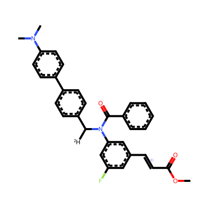 [2H]C(c1ccc(-c2ccc(N(C)C)cc2)cc1)N(C(=O)c1ccccc1)c1cc(F)cc(/C=C/C(=O)OC)c1